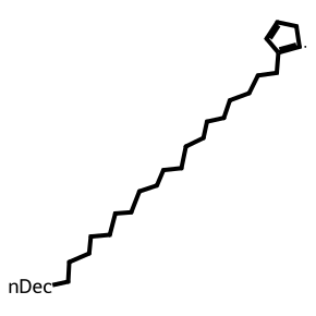 CCCCCCCCCCCCCCCCCCCCCCCCCCCCCC1=[C]CC=C1